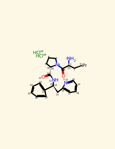 CC(C)C[C@H](N)C(=O)N1CCC[C@H]1C(=O)N[C@@H](Cc1ccccn1)c1ccccc1.Cl.Cl